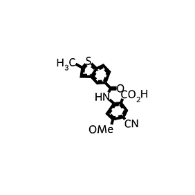 COc1cc(NC(=O)c2ccc3sc(C)cc3c2)c(C(=O)O)cc1C#N